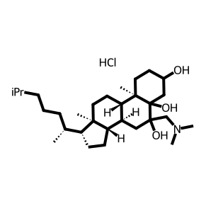 CC(C)CCC[C@@H](C)[C@H]1CC[C@H]2[C@@H]3CC(O)(CN(C)C)C4(O)CC(O)CC[C@]4(C)[C@H]3CC[C@]12C.Cl